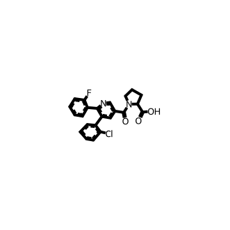 O=C(O)C1CCCN1C(=O)c1cnc(-c2ccccc2F)c(-c2ccccc2Cl)c1